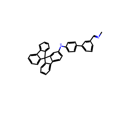 C/N=C/c1cccc(-c2ccc(Nc3ccc4c(c3)C3(c5ccccc5-c5ccccc53)c3ccccc3-4)cc2)c1